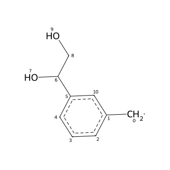 [CH2]c1cccc(C(O)CO)c1